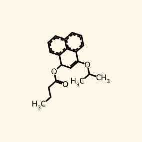 CCCC(=O)OC1C=C(OC(C)C)c2cccc3cccc1c23